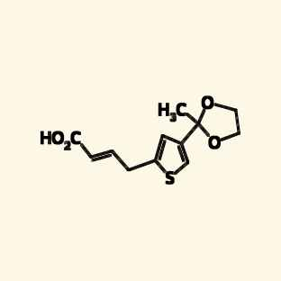 CC1(c2csc(C/C=C/C(=O)O)c2)OCCO1